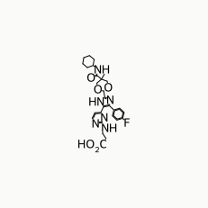 CC1(C(=O)NC2CCCCC2)COC(c2nc(-c3ccc(F)cc3)c(-c3ccnc(NCCC(=O)O)n3)[nH]2)OC1